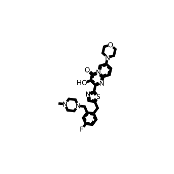 CN1CCN(Cc2cc(F)ccc2Cc2cnc(-c3nc4ccc(N5CCOCC5)cn4c(=O)c3O)s2)CC1